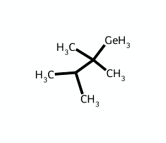 CC(C)[C](C)(C)[GeH3]